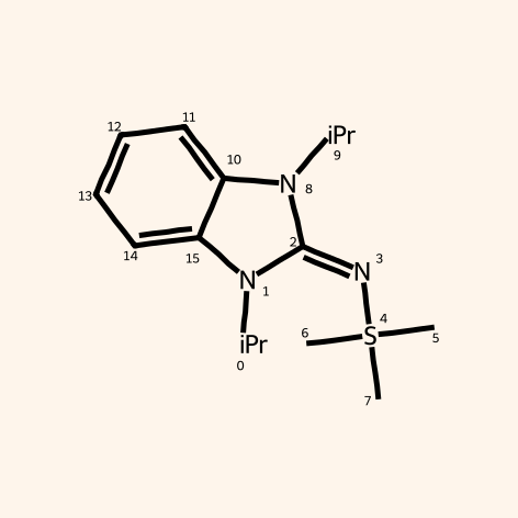 CC(C)n1c(=NS(C)(C)C)n(C(C)C)c2ccccc21